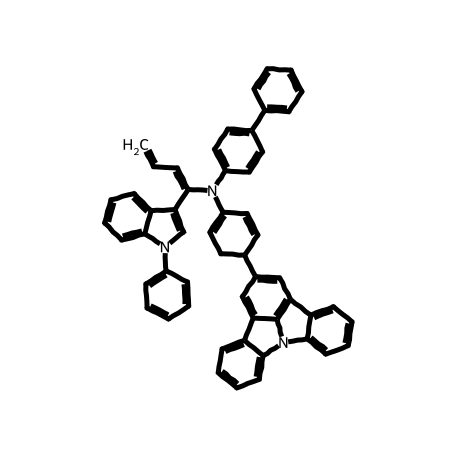 C=C/C=C(\c1cn(-c2ccccc2)c2ccccc12)N(C1=CCC(c2cc3c4ccccc4n4c5ccccc5c(c2)c34)C=C1)c1ccc(-c2ccccc2)cc1